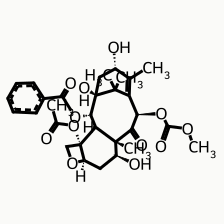 COC(=O)O[C@H]1C(=O)[C@@]2(C)[C@H]([C@H](OC(=O)c3ccccc3)[C@]3(O)C[C@H](O)C(C)=C1C3(C)C)[C@]1(OC(C)=O)CO[C@@H]1C[C@@H]2O